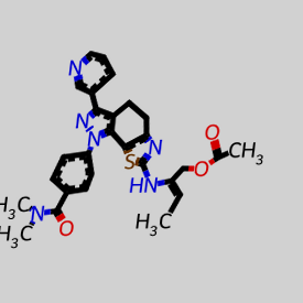 C/C=C(/COC(C)=O)Nc1nc2c(s1)-c1c(c(-c3cccnc3)nn1-c1ccc(C(=O)N(C)C)cc1)CC2